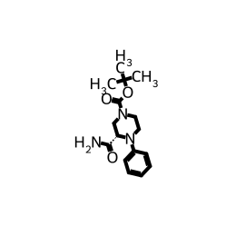 CC(C)(C)OC(=O)N1CCN(c2ccccc2)[C@H](C(N)=O)C1